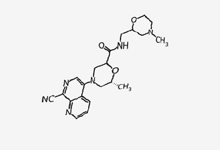 C[C@@H]1CN(c2cnc(C#N)c3ncccc23)CC(C(=O)NCC2CN(C)CCO2)O1